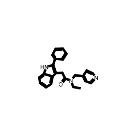 CCN(Cc1ccncc1)C(=O)Cc1c(-c2ccccc2)[nH]c2ccccc12